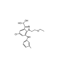 CCOCCn1nc(C(O)O)c2cc(Cl)cc(Nc3cccc(C)c3)c21